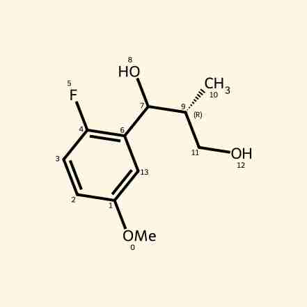 COc1ccc(F)c(C(O)[C@H](C)CO)c1